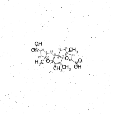 Cc1c(C)c2c(c3c1OC(C)(CCC(=O)O)CC3)CCC(C)(CCC(=O)O)O2